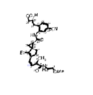 CCC1=C(/C=C\C(C)C(=O)NCCOC)CC[C@]12C[C@H]2C(=O)Nc1cc(C#N)ccc1CCCC(=O)O